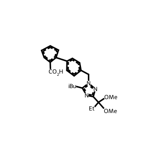 CCC(C)c1nc(C(CC)(OC)OC)nn1Cc1ccc(-c2ccccc2C(=O)O)cc1